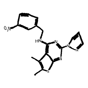 Cc1sc2nc(-n3cccn3)nc(NCc3cccc([N+](=O)[O-])c3)c2c1C